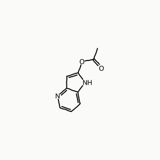 CC(=O)Oc1cc2ncccc2[nH]1